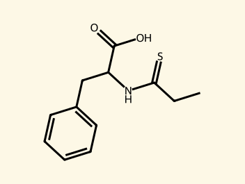 CCC(=S)NC(Cc1ccccc1)C(=O)O